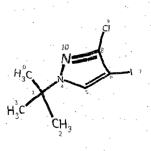 CC(C)(C)n1cc(I)c(Cl)n1